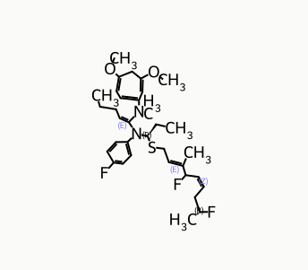 CCC/C=C(\N(C)C1=CC=C(OC)CC(OC)=C1)N(c1ccc(F)cc1)[C@@H](CC)SC/C=C(\C)C(F)/C=C\C[C@@H](C)F